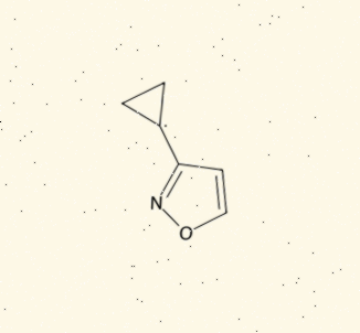 c1cc([C]2CC2)no1